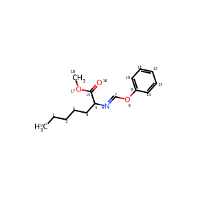 CCCCCC(N=COc1ccccc1)C(=O)OC